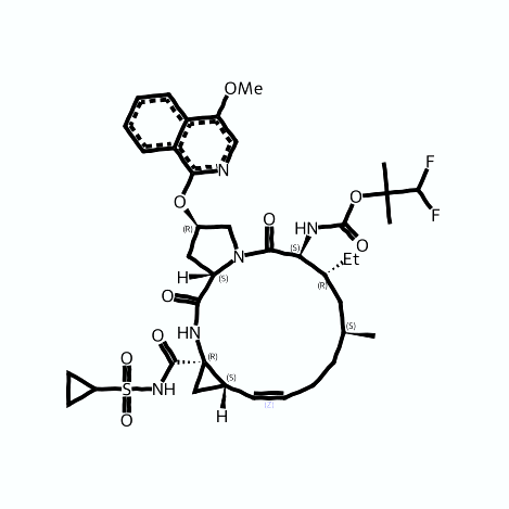 CC[C@@H]1C[C@@H](C)CC/C=C\[C@@H]2C[C@@]2(C(=O)NS(=O)(=O)C2CC2)NC(=O)[C@@H]2C[C@@H](Oc3ncc(OC)c4ccccc34)CN2C(=O)[C@H]1NC(=O)OC(C)(C)C(F)F